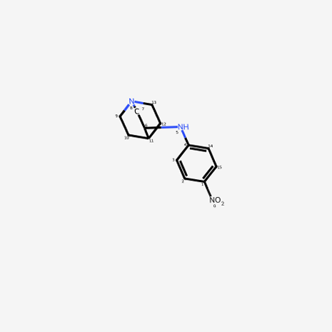 O=[N+]([O-])c1ccc(NC2CN3CCC2CC3)cc1